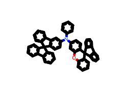 c1ccc(N(c2ccc3c(c2)Oc2ccccc2C32c3ccccc3-c3ccccc32)c2ccc3c(c2)-c2ccccc2C32c3ccccc3-c3ccccc32)cc1